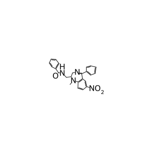 CN1c2ccc([N+](=O)[O-])cc2C(c2ccccc2)=NCC1CNC(=O)c1ccccc1